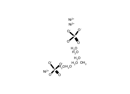 O.O.O.O.O.O.O.O=P([O-])([O-])[O-].O=P([O-])([O-])[O-].[Ni+2].[Ni+2].[Ni+2]